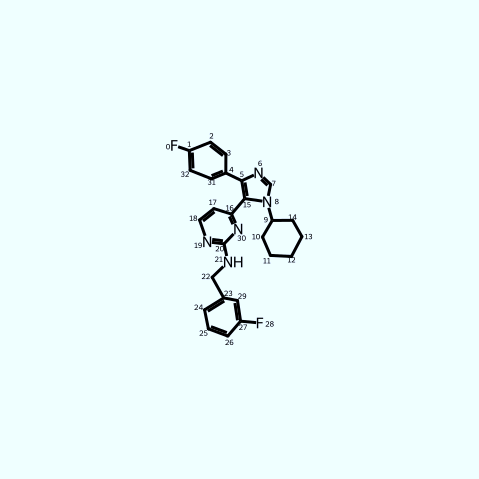 Fc1ccc(-c2ncn(C3CCCCC3)c2-c2ccnc(NCc3cccc(F)c3)n2)cc1